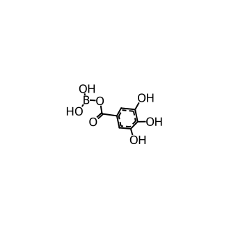 O=C(OB(O)O)c1cc(O)c(O)c(O)c1